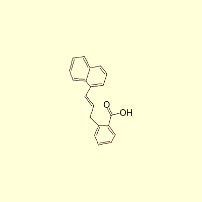 O=C(O)c1ccccc1CC=Cc1cccc2ccccc12